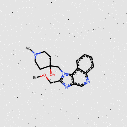 CCOCc1nc2cnc3ccccc3c2n1CC1(O)CCN(C(C)=O)CC1